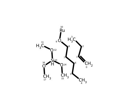 C=CCC.CCCCC[O][Ru].CO[SiH](OC)OC